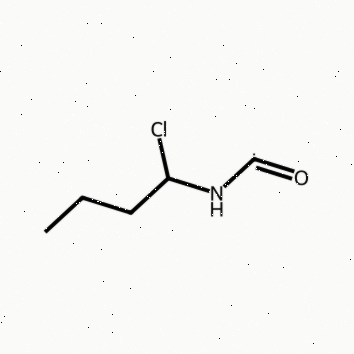 CCCC(Cl)N[C]=O